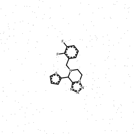 Fc1cccc(CN2CCn3nnnc3C2c2cccs2)c1F